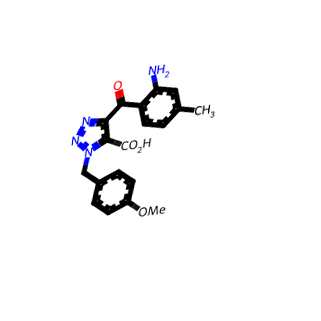 COc1ccc(Cn2nnc(C(=O)c3ccc(C)cc3N)c2C(=O)O)cc1